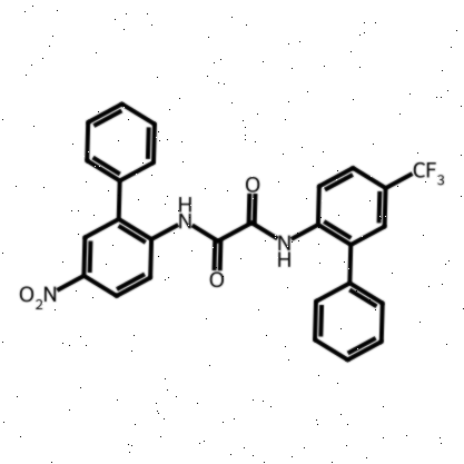 O=C(Nc1ccc([N+](=O)[O-])cc1-c1ccccc1)C(=O)Nc1ccc(C(F)(F)F)cc1-c1ccccc1